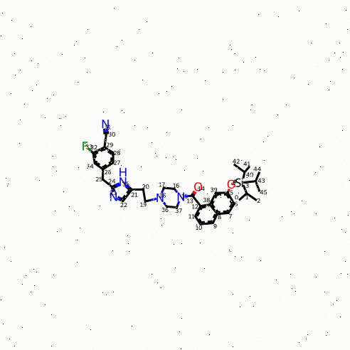 CC(C)[Si](Oc1ccc2cccc(C(=O)N3CCN(CCc4cnc(Cc5ccc(C#N)c(F)c5)[nH]4)CC3)c2c1)(C(C)C)C(C)C